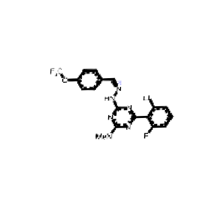 CNc1nc(N/N=C\c2ccc(OC(F)(F)F)cc2)nc(-c2c(F)cccc2Cl)n1